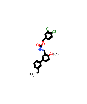 CCCOc1ccc(-c2cccc(CC(=O)O)c2)cc1CNC(=O)OCc1ccc(Cl)c(Cl)c1